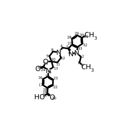 CCCn1nc(CN2CCC3(CC2)CN(c2ccc(C(=O)O)cc2)C(=O)O3)c2ccc(C)cc21